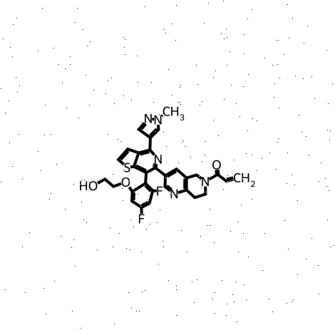 C=CC(=O)N1CCc2ncc(-c3nc(-c4cnn(C)c4)c4ccsc4c3-c3c(F)cc(F)cc3OCCO)cc2C1